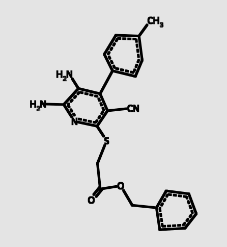 Cc1ccc(-c2c(N)c(N)nc(SCC(=O)OCc3ccccc3)c2C#N)cc1